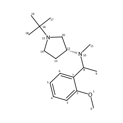 COc1ccccc1C(C)N(C)[C@@H]1CCN(C(C)(C)C)C1